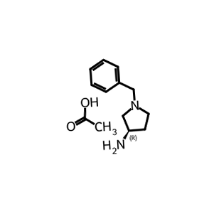 CC(=O)O.N[C@@H]1CCN(Cc2ccccc2)C1